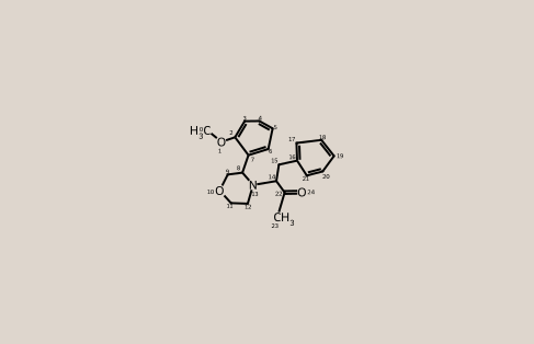 COc1ccccc1C1COCCN1C(Cc1ccccc1)C(C)=O